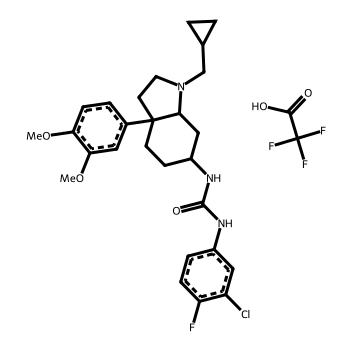 COc1ccc(C23CCC(NC(=O)Nc4ccc(F)c(Cl)c4)CC2N(CC2CC2)CC3)cc1OC.O=C(O)C(F)(F)F